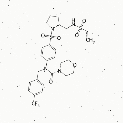 C=CS(=O)(=O)NCC1CCCN1S(=O)(=O)c1ccc(N(Cc2ccc(C(F)(F)F)cc2)C(=O)N2CCOCC2)cc1